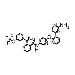 Nc1nccc(-c2cccnc2Oc2ccc(Nc3nnc(-c4cccc(OC(F)(F)F)c4)c4ccccc34)cn2)n1